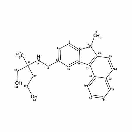 Cn1c2ccc(CNC(C)(CO)CCO)cc2c2c3ccccc3ccc21